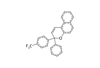 FC(F)(F)c1ccc(C2(c3ccccc3)C=Cc3c(ccc4ccccc34)O2)cc1